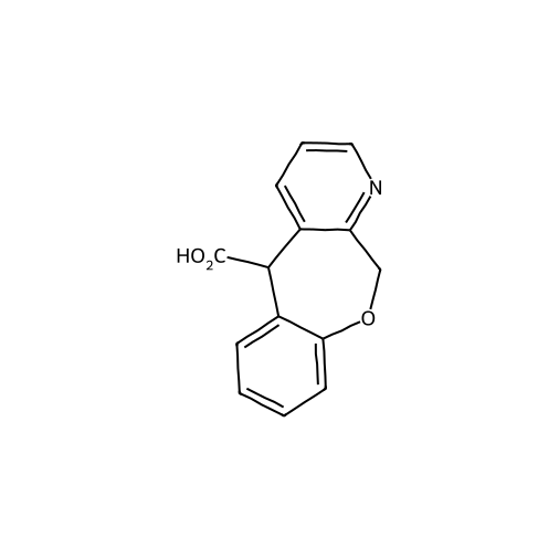 O=C(O)C1c2ccccc2OCc2ncccc21